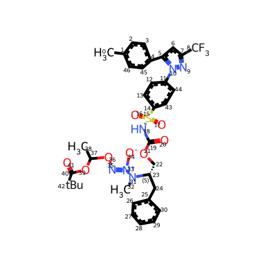 Cc1ccc(-c2cc(C(F)(F)F)nn2-c2ccc(S(=O)(=O)NC(=O)OC[C@H](Cc3ccccc3)N(C)[N+]([O-])=NOC(C)OC(=O)C(C)(C)C)cc2)cc1